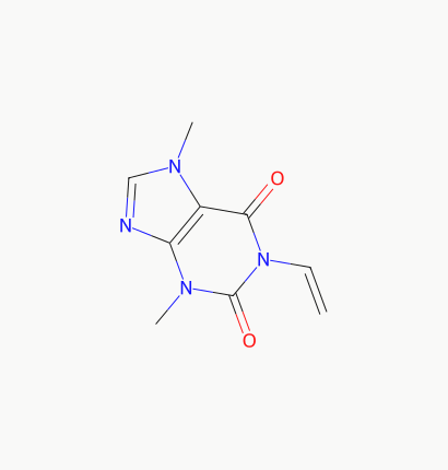 C=Cn1c(=O)c2c(ncn2C)n(C)c1=O